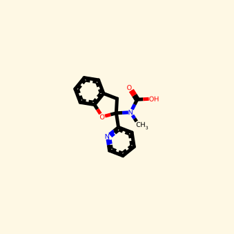 CN(C(=O)O)C1(c2ccccn2)Cc2ccccc2O1